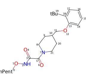 CCCCCONC(=O)C(=O)N1CCC(COc2ccccc2C(C)(C)C)CC1